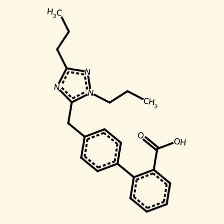 CCCc1nc(Cc2ccc(-c3ccccc3C(=O)O)cc2)n(CCC)n1